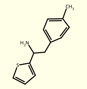 Cc1ccc(CC(N)c2cccs2)cc1